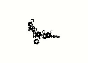 CNc1cc2ccn(-c3ccc(NC(=O)NS(=O)(=O)c4ccc(Cl)s4)cc3CN3CCCCC3)c(=O)c2cc1F